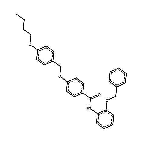 CCCCOc1ccc(COc2ccc(C(=O)Nc3ccccc3OCc3ccccc3)cc2)cc1